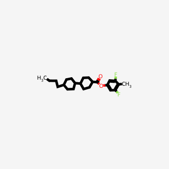 CCCCC1CCC(C2CCC(C(=O)Oc3cc(F)c(C)c(F)c3)CC2)CC1